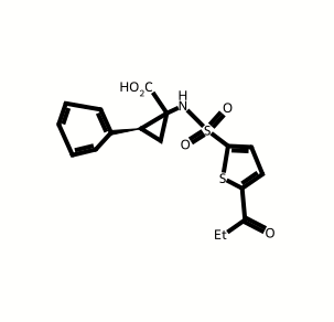 CCC(=O)c1ccc(S(=O)(=O)NC2(C(=O)O)C[C@H]2c2ccccc2)s1